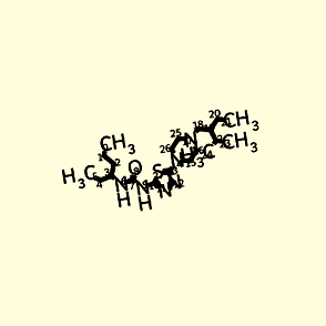 CCCC(CC)NC(=O)Nc1nnc(N2CCN(CC(CC)C(C)C)CC2)s1